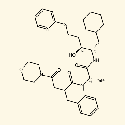 CCC[C@H](NC(=O)C(CC(=O)N1CCOCC1)Cc1ccccc1)C(=O)N[C@@H](CC1CCCCC1)[C@@H](O)CCSc1ccccn1